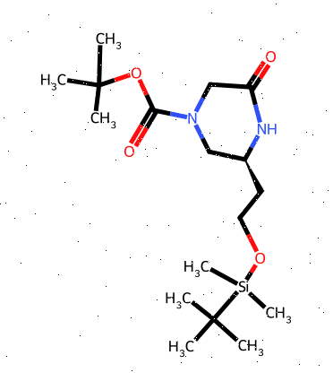 CC(C)(C)OC(=O)N1CC(=O)N[C@@H](CCO[Si](C)(C)C(C)(C)C)C1